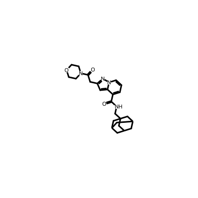 O=C(NCC12CC3CC(CC(C3)C1)C2)c1cccn2nc(CC(=O)N3CCOCC3)cc12